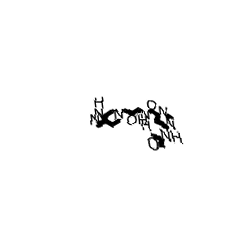 O=C(NC[C@H](O)CN1CCc2cn[nH]c2C1)c1cc(NC2COC2)ncn1